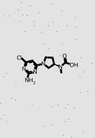 CN(C(=O)O)[C@@H]1CCN(c2cc(Cl)nc(N)n2)C1